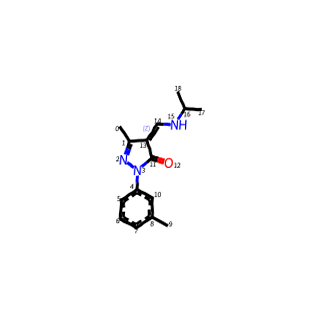 CC1=NN(c2cccc(C)c2)C(=O)/C1=C\NC(C)C